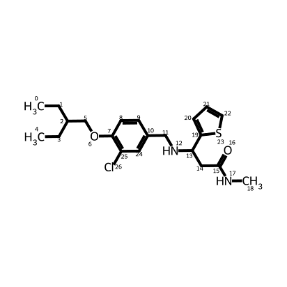 CCC(CC)COc1ccc(CNC(CC(=O)NC)c2cccs2)cc1Cl